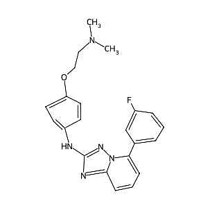 CN(C)CCOc1ccc(Nc2nc3cccc(-c4cccc(F)c4)n3n2)cc1